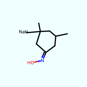 CC1C/C(=N/O)CC(C)(C)C1.[NaH]